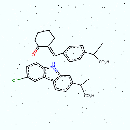 CC(C(=O)O)c1ccc(/C=C2\CCCCC2=O)cc1.CC(C(=O)O)c1ccc2c(c1)[nH]c1ccc(Cl)cc12